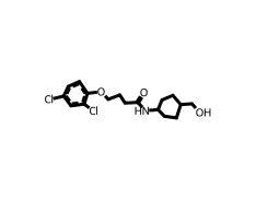 O=C(CCCOc1ccc(Cl)cc1Cl)NC1CCC(CO)CC1